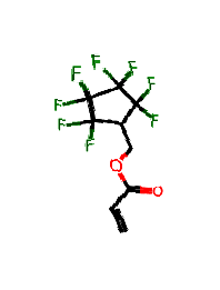 C=CC(=O)OCC1C(F)(F)C(F)(F)C(F)(F)C1(F)F